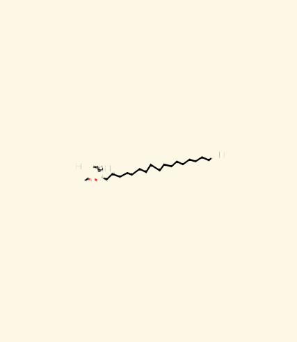 CCCCCCCCCCCCCCCCCC[SiH](OCC)[SiH2][SiH3]